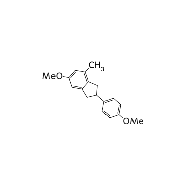 COc1ccc(C2Cc3cc(OC)cc(C)c3C2)cc1